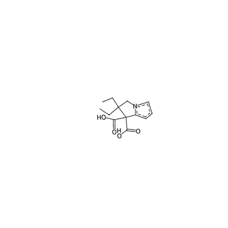 CCC1(CC)Cn2cccc2C1(C(=O)O)C(=O)O